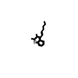 CCCCC=Cc1c(C)c(C)nc2ccccc12